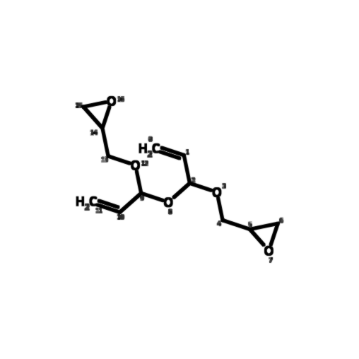 C=CC(OCC1CO1)OC(C=C)OCC1CO1